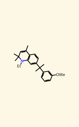 CCN1c2cc(C(C)(C)c3cccc(OC)c3)ccc2C(C)=CC1(C)C